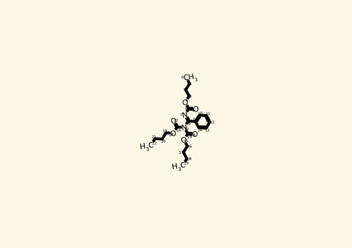 CCCCOC(=O)N=C(c1cc[c]cc1)N(C(=O)OCCCC)C(=O)OCCCC